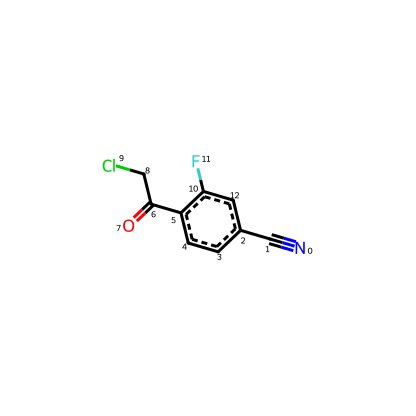 N#Cc1ccc(C(=O)CCl)c(F)c1